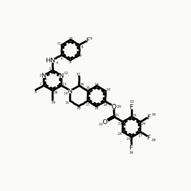 Cc1nc(Nc2ccc(F)cc2)nc(N2CCc3cc(OC(=O)c4cc(F)c(F)c(F)c4F)ccc3C2C)c1C